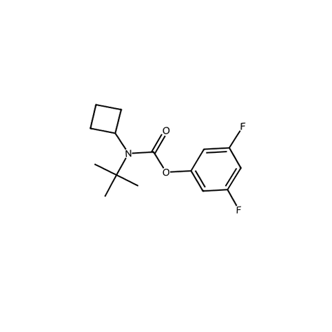 CC(C)(C)N(C(=O)Oc1cc(F)cc(F)c1)C1CCC1